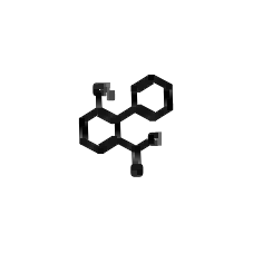 O=C(Cl)c1cccc(C(F)(F)F)c1-c1ccccc1